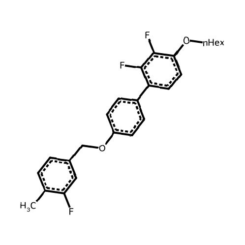 CCCCCCOc1ccc(-c2ccc(OCc3ccc(C)c(F)c3)cc2)c(F)c1F